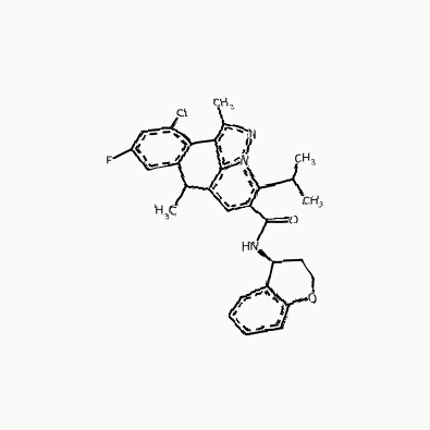 Cc1nn2c(C(C)C)c(C(=O)N[C@H]3CCOc4ccccc43)cc3c2c1-c1c(Cl)cc(F)cc1C3C